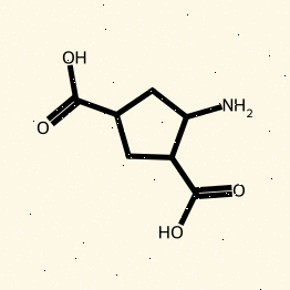 NC1CC(C(=O)O)CC1C(=O)O